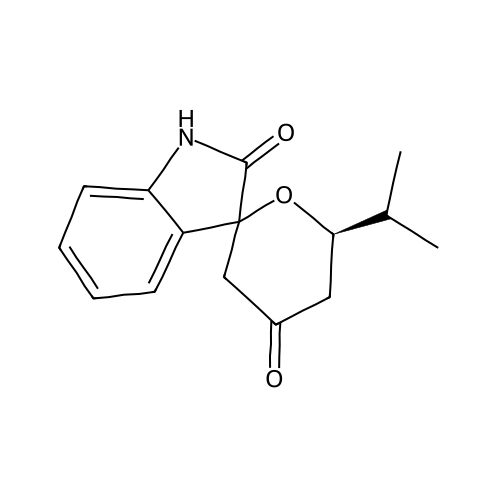 CC(C)[C@H]1CC(=O)CC2(O1)C(=O)Nc1ccccc12